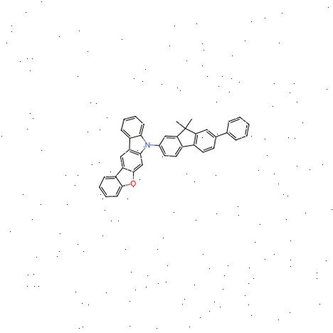 CC1(C)c2cc(-c3ccccc3)ccc2-c2ccc(-n3c4ccccc4c4cc5c(cc43)oc3ccccc35)cc21